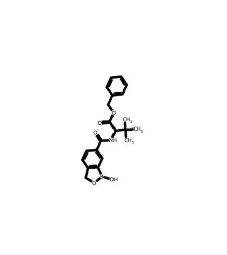 CC(C)(C)C(NC(=O)c1ccc2c(c1)B(O)OC2)C(=O)OCc1ccccc1